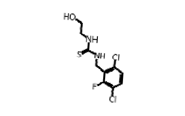 OCCNC(=S)NCc1c(Cl)ccc(Cl)c1F